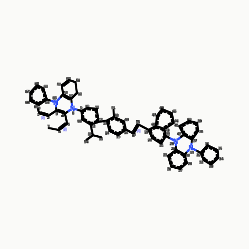 C/C=C\C1=C(/C=C\C)N(c2ccc(-c3ccc(/C=C/c4ccc(N5c6ccccc6N(c6ccccc6)c6ccccc65)c5ccccc45)cc3C)c(C(C)C)c2)C2=C(C=CCC2)N1c1ccccc1